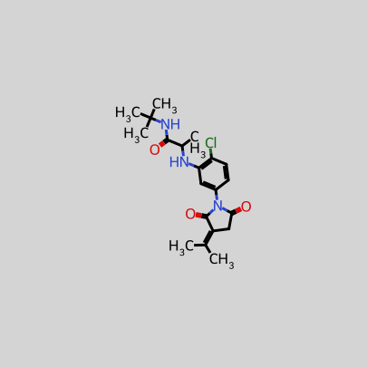 CC(C)=C1CC(=O)N(c2ccc(Cl)c(NC(C)C(=O)NC(C)(C)C)c2)C1=O